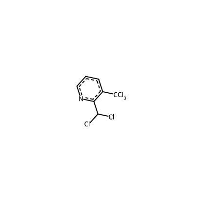 ClC(Cl)c1ncccc1C(Cl)(Cl)Cl